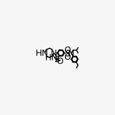 CCc1ccc(N(CC(C)C)S(=O)(=O)c2ccc(N3CCCNCCC3)c(S(C)(=N)=O)c2)cc1